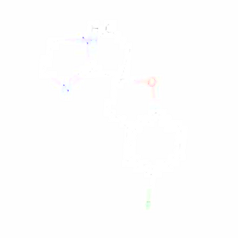 CCC1(C2=NCCN2)Cc2cc(F)ccc2O1